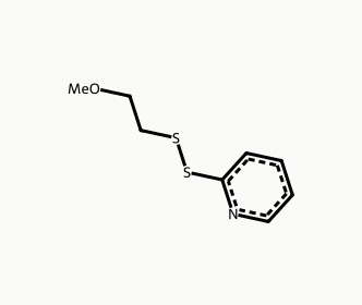 COCCSSc1ccccn1